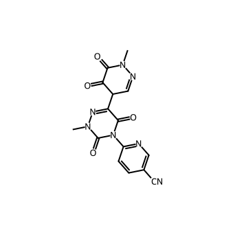 CN1N=CC(c2nn(C)c(=O)n(-c3ccc(C#N)cn3)c2=O)C(=O)C1=O